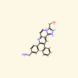 NCc1ccc(-c2nc3ccn4c(CO)nnc4c3cc2-c2ccccc2)cc1